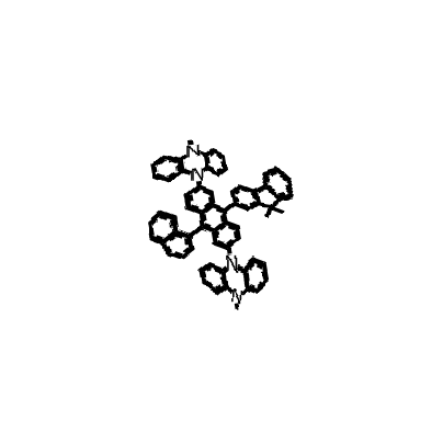 CN1c2ccccc2N(c2ccc3c(-c4cccc5ccccc45)c4cc(N5c6ccccc6N(C)c6ccccc65)ccc4c(-c4ccc5c(c4)C(C)(C)c4ccccc4-5)c3c2)c2ccccc21